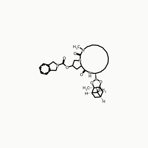 CN1CCCCCCCCC[C@@H](B2OC3C[C@H]4C[C@H](C4(C)C)[C@@]3(C)O2)NC(=O)C2CC(OC(=O)N3Cc4ccccc4C3)CN2C1=O